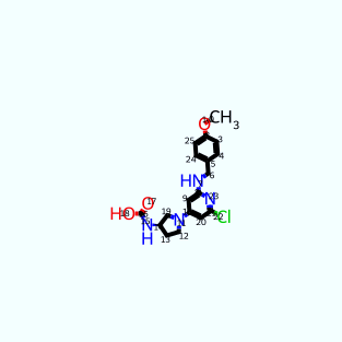 COc1ccc(CNc2cc(N3CC[C@@H](NC(=O)O)C3)cc(Cl)n2)cc1